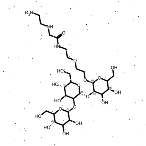 NCCNCC(=O)NCCOCCO[C@H]1OC(CO)[C@@H](O)C(O)[C@H]1O[C@H]1OC(CO)[C@@H](O)C(O)C1O[C@@H]1OC(CO)[C@@H](O)C(O)C1O